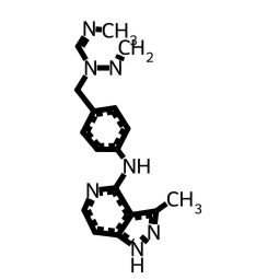 C=NN(/C=N\C)Cc1ccc(Nc2nccc3[nH]nc(C)c23)cc1